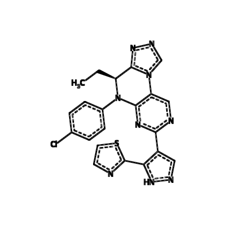 CC[C@H]1c2nncn2-c2cnc(-c3cn[nH]c3-c3nccs3)nc2N1c1ccc(Cl)cc1